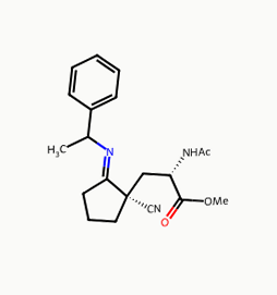 COC(=O)[C@H](C[C@@]1(C#N)CCC/C1=N\C(C)c1ccccc1)NC(C)=O